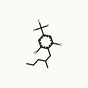 CCCC(C)Cc1c(Cl)cc(C(F)(F)F)cc1Cl